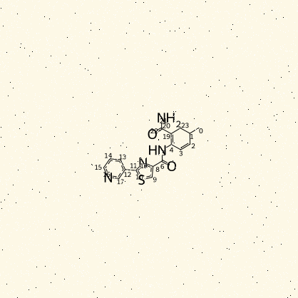 CC1C=CC(NC(=O)c2csc(-c3cccnc3)n2)=C(C(N)=O)C1